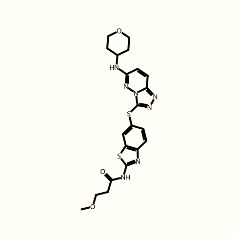 COCCC(=O)Nc1nc2ccc(Sc3nnc4ccc(NC5CCOCC5)nn34)cc2s1